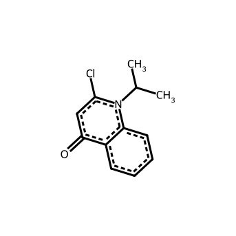 CC(C)n1c(Cl)cc(=O)c2ccccc21